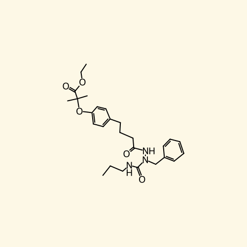 CCCNC(=O)N(Cc1ccccc1)NC(=O)CCCc1ccc(OC(C)(C)C(=O)OCC)cc1